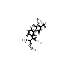 CO/N=C(\C)c1c(C)oc2c(-n3c(=O)cc(C(F)(F)F)n(C)c3=O)c(F)cc(Cl)c12